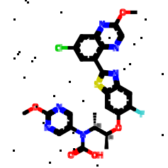 COc1cnc2c(-c3nc4cc(F)c(O[C@@H](C)[C@@H](C)N(C(=O)O)c5cnc(OC)nc5)cc4s3)cc(Cl)cc2n1